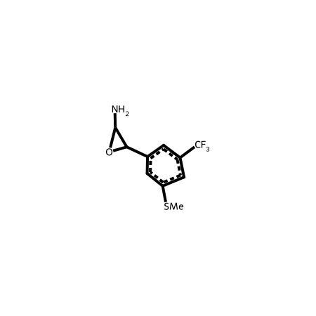 CSc1cc(C2OC2N)cc(C(F)(F)F)c1